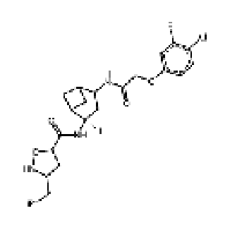 CC(C)CC1CC(C(=O)N[C@@H]2CC(NC(=O)COc3ccc(Cl)c(F)c3)C3CC2C3)ON1